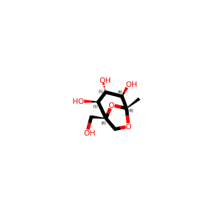 C[C@@]12OC[C@@](CO)(O1)[C@@H](O)[C@H](O)[C@H]2O